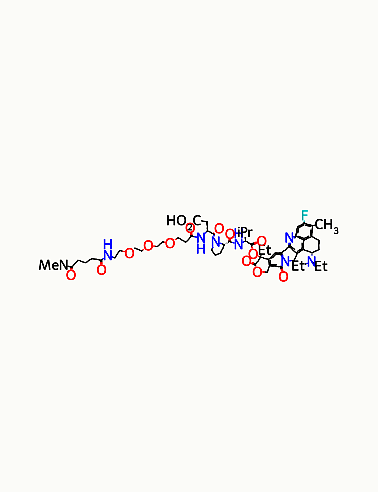 CCN(CC)[C@H]1CCc2c(C)c(F)cc3nc4c(c1c23)Cn1c-4cc2c(c1=O)COC(=O)[C@@]2(CC)OC(=O)[C@@H](NC(=O)[C@@H]1CCCN1C(=O)[C@H](CC(=O)O)NC(=O)CCOCCOCCOCCNC(=O)CCCC(=O)NC)C(C)C